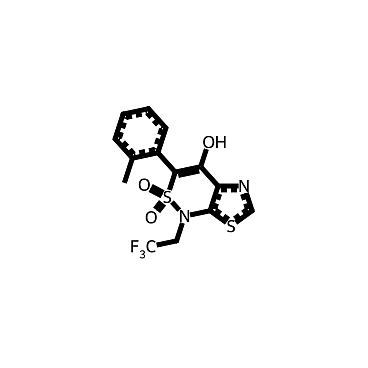 Cc1ccccc1C1=C(O)c2ncsc2N(CC(F)(F)F)S1(=O)=O